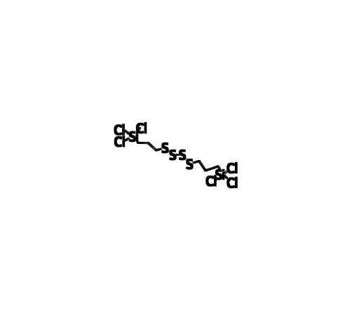 Cl[Si](Cl)(Cl)CCCSSSSCCC[Si](Cl)(Cl)Cl